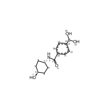 O=C(N[C@H]1CC[C@H](O)CC1)c1ccc(B(O)O)cc1